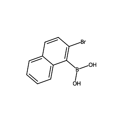 OB(O)c1c(Br)ccc2ccccc12